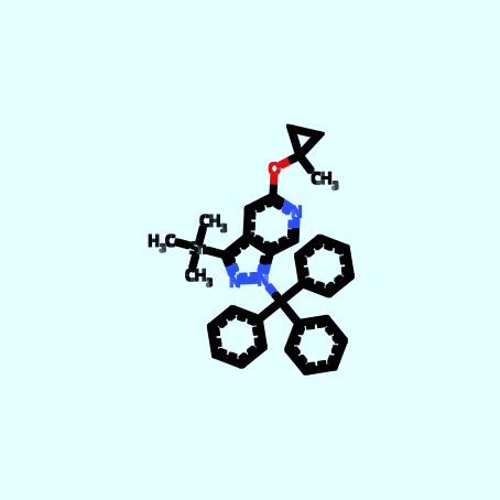 CC1(Oc2cc3[c]([Sn]([CH3])([CH3])[CH3])nn(C(c4ccccc4)(c4ccccc4)c4ccccc4)c3cn2)CC1